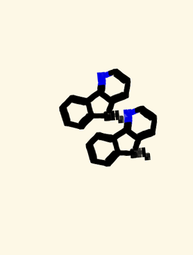 c1ccc2c(c1)[SiH2]c1cccnc1-2.c1ccc2c(c1)[SiH2]c1cccnc1-2